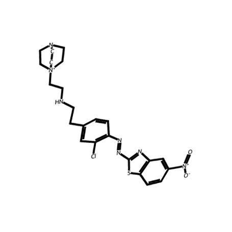 O=[N+]([O-])c1ccc2sc(N=Nc3ccc(CCNCC[N+]45CCN(CC4)CC5)cc3Cl)nc2c1